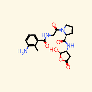 Cc1c(N)cccc1C(=O)NCC(=O)N1CCC[C@H]1C(=O)N[C@H]1CC(=O)O[C@H]1O